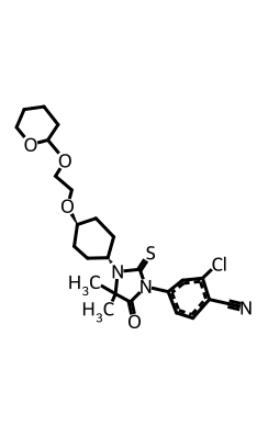 CC1(C)C(=O)N(c2ccc(C#N)c(Cl)c2)C(=S)N1[C@H]1CC[C@H](OCCOC2CCCCO2)CC1